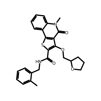 Cc1ccccc1CNC(=O)c1sc2c(c1OCC1CCCO1)c(=O)n(C)c1ccccc21